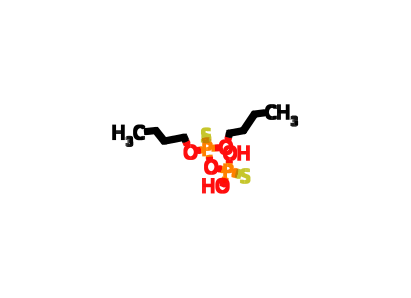 CCCCOP(=S)(OCCCC)OP(O)(O)=S